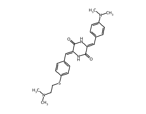 CN(C)CCSc1ccc(C=c2[nH]c(=O)c(=Cc3ccc(N(C)C)cc3)[nH]c2=O)cc1